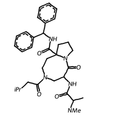 CNC(C)C(=O)NC1CN(C(=O)CC(C)C)CCC2(C(=O)NC(c3ccccc3)c3ccccc3)CCCN2C1=O